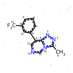 Cc1nnc2c(-c3cccc(C(F)(F)F)c3)cncn12